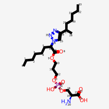 CCCCCCC(C(=O)OCCCOP(=O)(O)OC[C@H](N)C(=O)O)n1cc(C(C)CCCCC)nn1